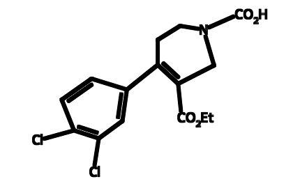 CCOC(=O)C1=C(c2ccc(Cl)c(Cl)c2)CCN(C(=O)O)C1